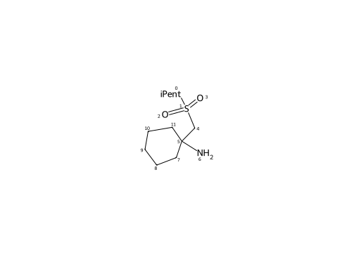 CCCC(C)S(=O)(=O)CC1(N)CCCCC1